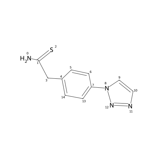 NC(=S)Cc1ccc(-n2ccnn2)cc1